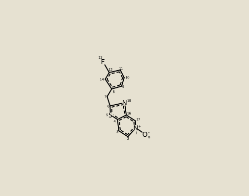 [O-][n+]1ccc2sc(Cc3cccc(F)c3)nc2c1